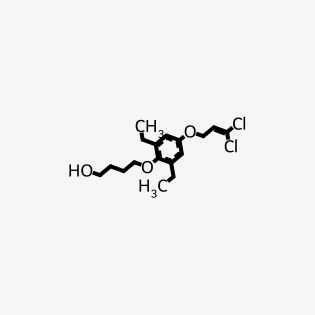 CCc1cc(OCC=C(Cl)Cl)cc(CC)c1OCCCCO